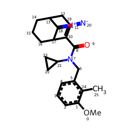 COc1cccc(CN(C(=O)C2=CCC3CCCC2C3=[N+]=[N-])C2CC2)c1C